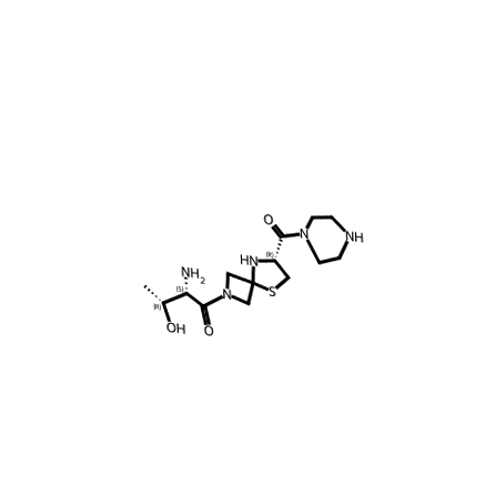 C[C@@H](O)[C@H](N)C(=O)N1CC2(C1)N[C@H](C(=O)N1CCNCC1)CS2